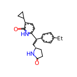 CCc1ccc(/C(=C\[C@H]2CCC(=O)N2)c2ccc(C3CC3)c(=O)[nH]2)cc1